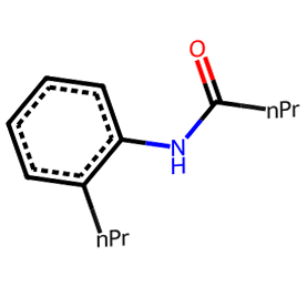 [CH2]CCc1ccccc1NC(=O)CCC